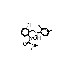 CNC(=O)N(O)c1cccc(Cl)c1COc1ccc(C)cc1C